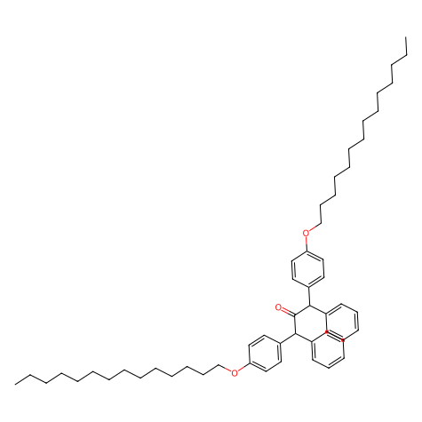 CCCCCCCCCCCCCCOc1ccc(C(C(=O)C(c2ccccc2)c2ccc(OCCCCCCCCCCCCCC)cc2)c2ccccc2)cc1